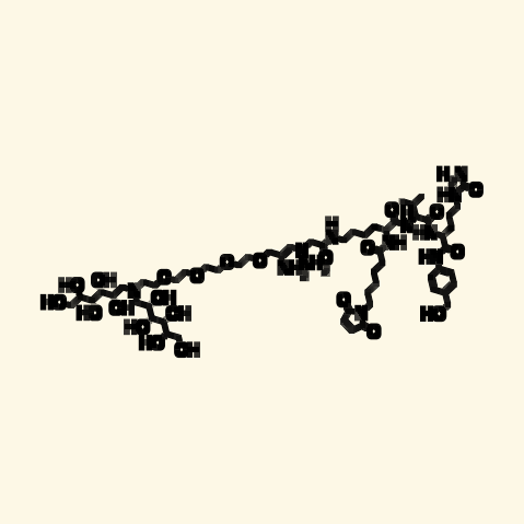 CC(C)[C@H](NC(=O)[C@H](CCCCNC(=O)CN(N)/C=C(\N)COCCOCCOCCOCCN(C[C@H](O)[C@@H](O)[C@H](O)[C@H](O)CO)C[C@H](O)[C@@H](O)[C@H](O)[C@H](O)CO)NC(=O)CCCCCN1C(=O)C=CC1=O)C(=O)N[C@@H](CCCNC(N)=O)C(=O)Nc1ccc(CO)cc1